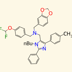 CCCCn1c(-c2ccccc2)nc(-c2ccc(C)cc2)c1CN(Cc1ccc(OC(F)F)cc1)Cc1ccc2c(c1)OCO2